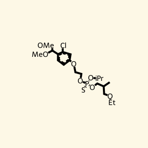 CCOCC(C)COP(=S)(OCCOc1ccc(C(OC)OC)c(Cl)c1)OC(C)C